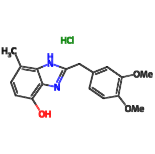 COc1ccc(Cc2nc3c(O)ccc(C)c3[nH]2)cc1OC.Cl